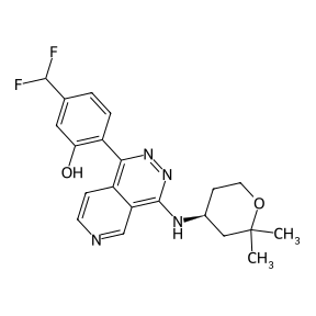 CC1(C)C[C@@H](Nc2nnc(-c3ccc(C(F)F)cc3O)c3ccncc23)CCO1